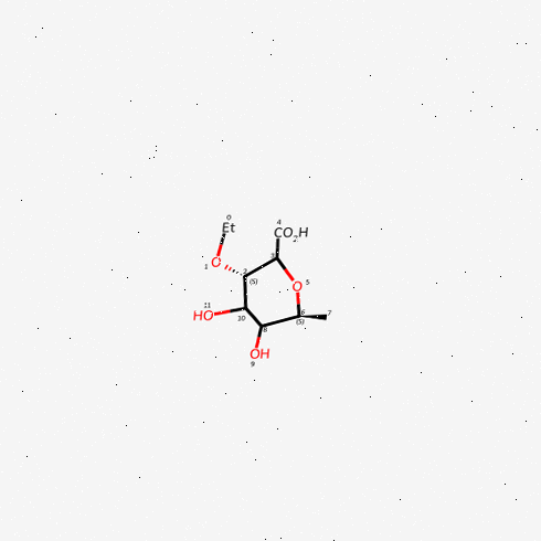 CCO[C@@H]1C(C(=O)O)O[C@@H](C)C(O)C1O